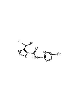 O=C(Nc1ccc(Br)cn1)c1snnc1C(F)F